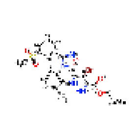 CSCOC(=O)C(=N)/C(Br)=C(\Nc1ccccc1C(F)(F)F)c1nc(-c2cccc(S(C)(=O)=O)c2)no1